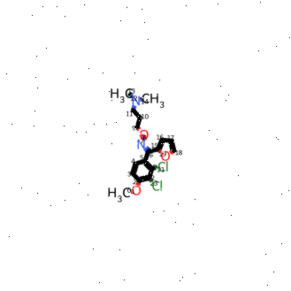 COc1ccc(C(=NOCCCN(C)C)c2ccco2)c(Cl)c1Cl